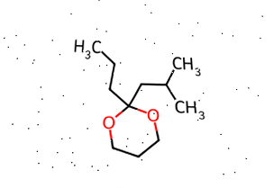 CCCC1(CC(C)C)OCCCO1